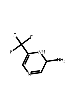 NC1C=NC=C(C(F)(F)F)N1